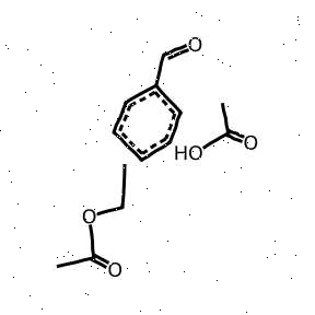 CC(=O)O.CCOC(C)=O.O=Cc1ccccc1